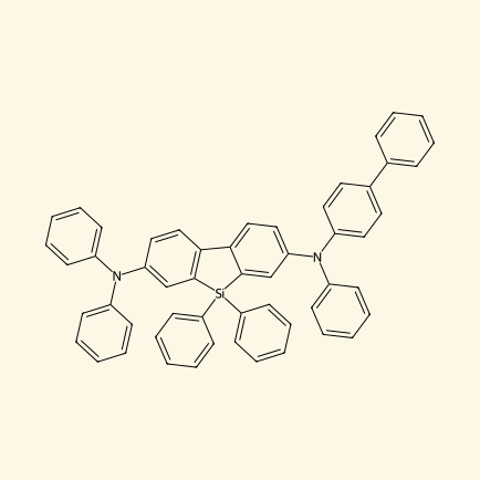 c1ccc(-c2ccc(N(c3ccccc3)c3ccc4c(c3)[Si](c3ccccc3)(c3ccccc3)c3cc(N(c5ccccc5)c5ccccc5)ccc3-4)cc2)cc1